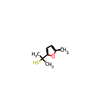 Cc1ccc(C(C)(C)S)o1